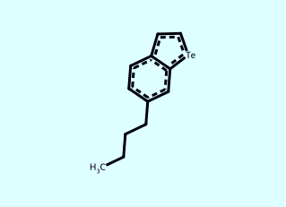 CCCCc1ccc2cc[te]c2c1